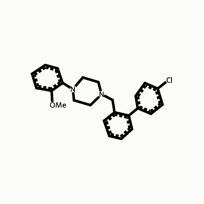 COc1ccccc1N1CCN(Cc2ccccc2-c2ccc(Cl)cc2)CC1